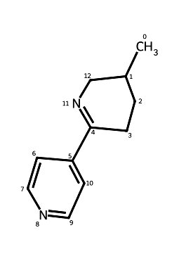 CC1CCC(c2ccncc2)=NC1